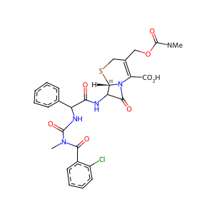 CNC(=O)OCC1=C(C(=O)O)N2C(=O)C(NC(=O)C(NC(=O)N(C)C(=O)c3ccccc3Cl)c3ccccc3)[C@@H]2SC1